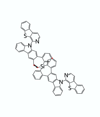 c1ccc2c(c1)-c1cc3c4ccccc4n(-c4nccc5c4sc4ccccc45)c3cc1-c1ccccc1[Si]21c2ccccc2-c2cc3c4ccccc4n(-c4nccc5c4sc4ccccc45)c3cc2-c2ccccc21